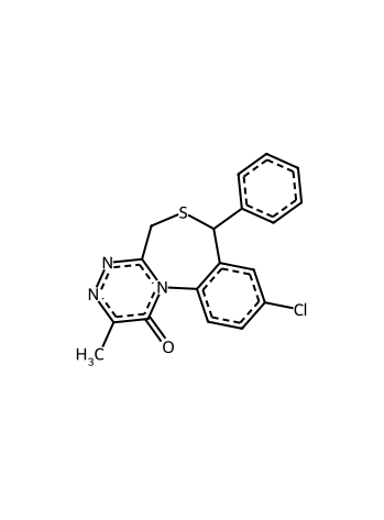 Cc1nnc2n(c1=O)-c1ccc(Cl)cc1C(c1ccccc1)SC2